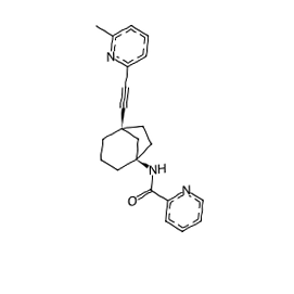 Cc1cccc(C#C[C@@]23CCC[C@@](NC(=O)c4ccccn4)(CC2)C3)n1